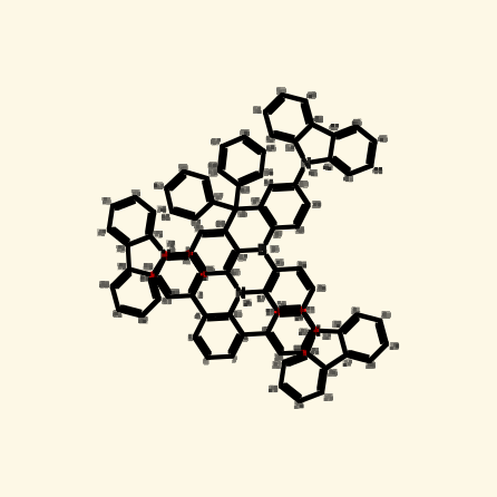 c1ccc(-c2cccc(-c3ccccc3)c2N2c3cc(-n4c5ccccc5c5ccccc54)ccc3B3c4ccc(-n5c6ccccc6c6ccccc65)cc4C(c4ccccc4)(c4ccccc4)c4cc(-n5c6ccccc6c6ccccc65)cc2c43)cc1